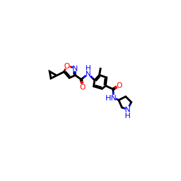 Cc1cc(C(=O)NC2CCNC2)ccc1NC(=O)c1cc(C2CC2)on1